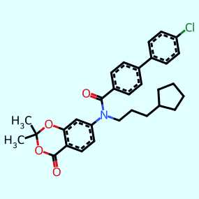 CC1(C)OC(=O)c2ccc(N(CCCC3CCCC3)C(=O)c3ccc(-c4ccc(Cl)cc4)cc3)cc2O1